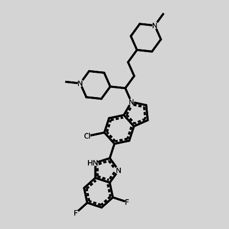 CN1CCC(CCC(C2CCN(C)CC2)n2ccc3cc(-c4nc5c(F)cc(F)cc5[nH]4)c(Cl)cc32)CC1